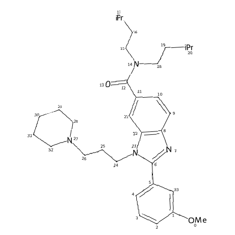 COc1cccc(-c2nc3ccc(C(=O)N(CCC(C)C)CCC(C)C)cc3n2CCCN2CCCCC2)c1